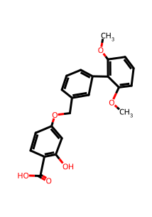 COc1cccc(OC)c1-c1cccc(COc2ccc(C(=O)O)c(O)c2)c1